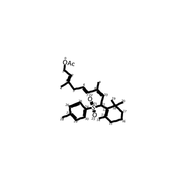 CC(=O)OCC=C(C)CC=CC(C)=CC(C1=C(C)CCCC1(C)C)S(=O)(=O)c1ccc(C)cc1